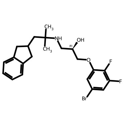 CC(C)(CC1Cc2ccccc2C1)NC[C@@H](O)COc1cc(Br)cc(F)c1F